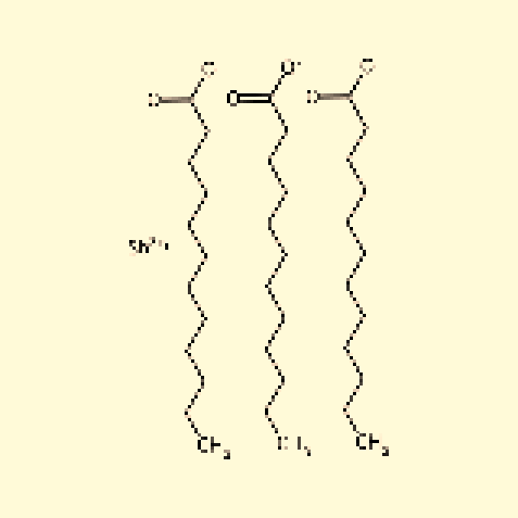 CCCCCCCCCCCC(=O)[O-].CCCCCCCCCCCC(=O)[O-].CCCCCCCCCCCC(=O)[O-].[Sb+3]